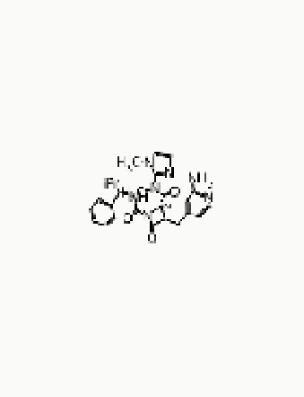 CC(C)[C@@H](NC(=O)N1C(=O)C(Cc2ccnc(N)c2)[C@H]1C(=O)N(C)c1nccn1C)c1ccccc1